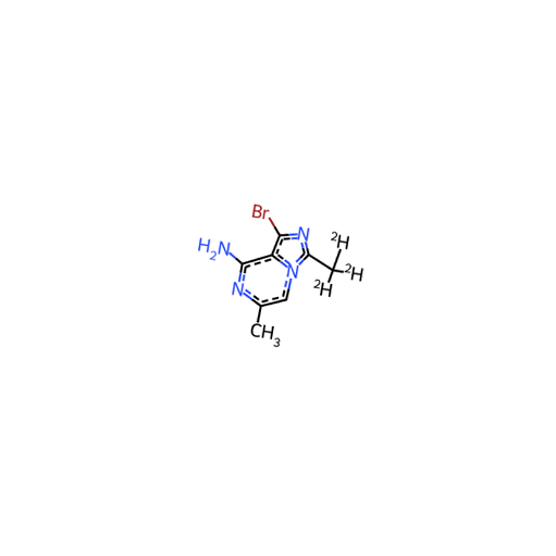 [2H]C([2H])([2H])c1nc(Br)c2c(N)nc(C)cn12